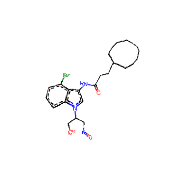 O=NCC(CO)n1cc(NC(=O)CCC2CCCCCC2)c2c(Br)cccc21